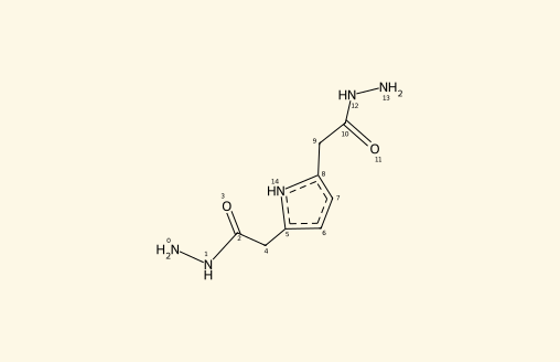 NNC(=O)Cc1ccc(CC(=O)NN)[nH]1